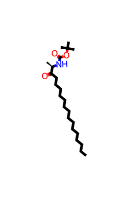 CCCCCCCCCCCCCCCC(=O)[C@@H](C)NC(=O)OC(C)(C)C